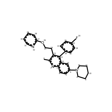 Cc1nc2ccc(N3CCCCC3)cc2c(-c2ccc(F)cc2)c1CCOc1ccccn1